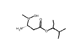 CC(C)C(C)OC(=O)C[C@H](N)N(C)O